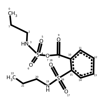 CCCNS(=O)(=O)OC(=O)c1ccccc1S(=O)(=O)NCCC